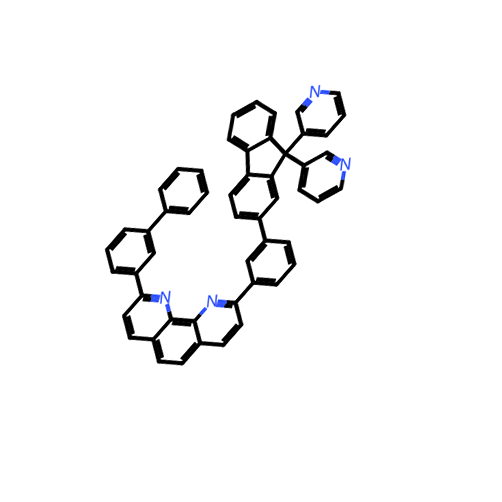 c1ccc(-c2cccc(-c3ccc4ccc5ccc(-c6cccc(-c7ccc8c(c7)C(c7cccnc7)(c7cccnc7)c7ccccc7-8)c6)nc5c4n3)c2)cc1